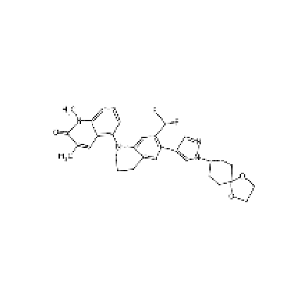 Cc1cc2c(N3CCCc4cc(-c5cnn(C6CCC7(CC6)OCCO7)c5)c(C(F)F)cc43)cccc2n(C)c1=O